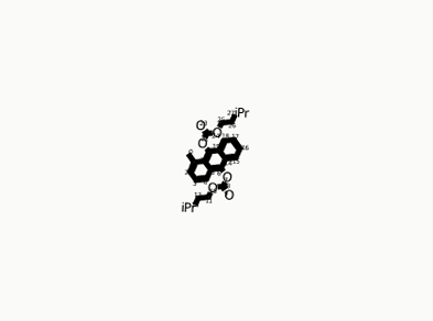 Cc1cccc2c(OC(=O)OCCC(C)C)c3ccccc3c(OC(=O)OCCC(C)C)c12